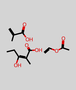 C=C(C)C(=O)O.C=COC(C)=O.CC/C(O)=C(/C)C(=O)O